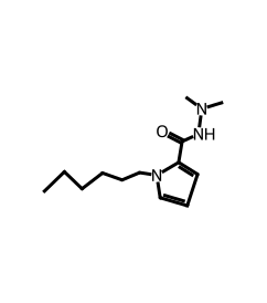 CCCCCCn1cccc1C(=O)NN(C)C